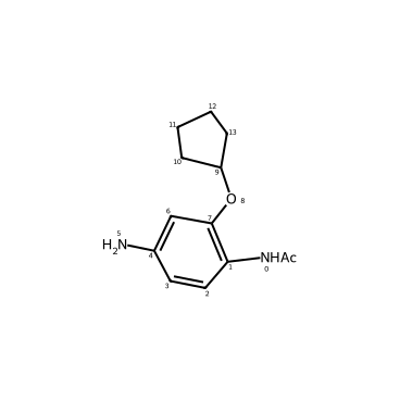 CC(=O)Nc1ccc(N)cc1OC1CCCC1